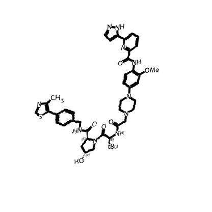 COc1cc(N2CCN(CC(=O)N[C@H](C(=O)N3C[C@H](O)C[C@H]3C(=O)NCc3ccc(-c4scnc4C)cc3)C(C)(C)C)CC2)ccc1NC(=O)c1cccc(-c2ccn[nH]2)n1